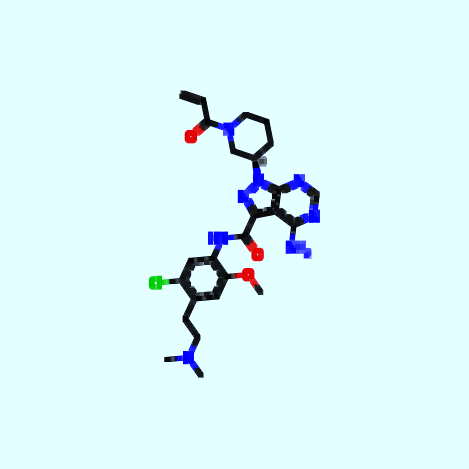 C=CC(=O)N1CCC[C@@H](n2nc(C(=O)Nc3cc(Cl)c(CCN(C)C)cc3OC)c3c(N)ncnc32)C1